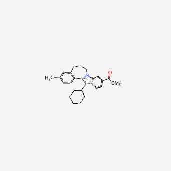 COC(=O)c1ccc2c(C3CCCCC3)c3n(c2c1)CCCc1cc(C)ccc1-3